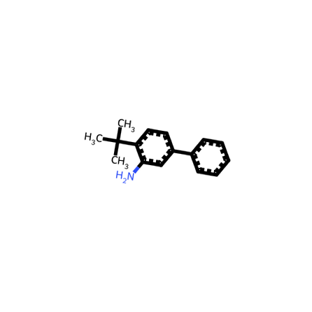 CC(C)(C)c1ccc(-c2ccccc2)cc1N